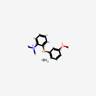 B.COc1cccc(Sc2ccccc2N(C)C)c1